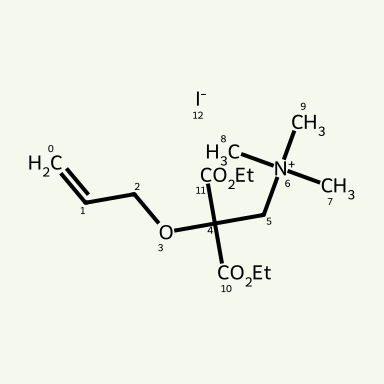 C=CCOC(C[N+](C)(C)C)(C(=O)OCC)C(=O)OCC.[I-]